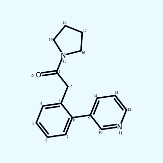 O=C(Cc1ccccc1-c1[c]nccc1)N1CCCC1